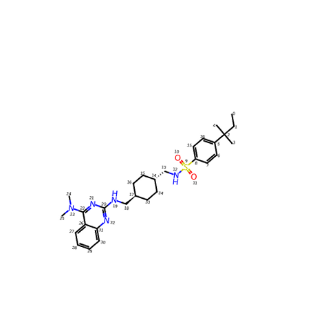 CCC(C)(C)c1ccc(S(=O)(=O)NC[C@H]2CC[C@H](CNc3nc(N(C)C)c4ccccc4n3)CC2)cc1